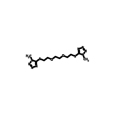 Cn1nnnc1SCCOCCOCCSc1nnnn1C